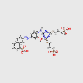 COc1cc(N=Nc2ccc3cccc(S(=O)(=O)O)c3c2)ccc1N(C)c1nc(SCCCS(=O)(=O)O)nc(SCCCS(=O)(=O)O)n1